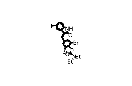 CCN(CC)C(=O)Oc1c(Br)cc(/C=C2\C(=O)Nc3ccc(I)cc32)cc1Br